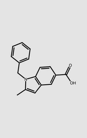 Cc1cc2cc(C(=O)O)ccc2n1Cc1ccccc1